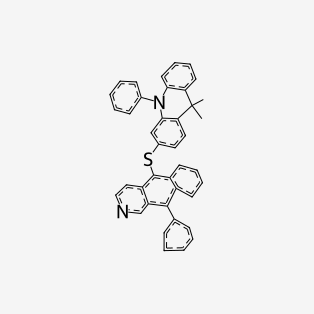 CC1(C)c2ccccc2N(c2ccccc2)c2cc(Sc3c4ccccc4c(-c4ccccc4)c4cnccc34)ccc21